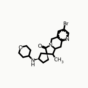 CC1C2Cc3ncc(Br)cc3CN2C(=O)[C@]12CC[C@@H](NC1CCOCC1)C2